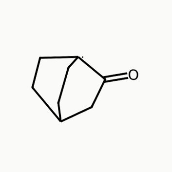 O=C1CC2CC[C]1CC2